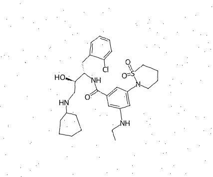 CCNc1cc(C(=O)N[C@@H](Cc2ccccc2Cl)[C@H](O)CNC2CCCCC2)cc(N2CCCCS2(=O)=O)c1